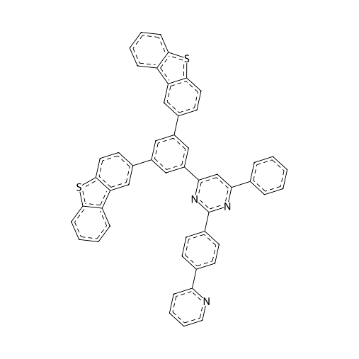 c1ccc(-c2cc(-c3cc(-c4ccc5sc6ccccc6c5c4)cc(-c4ccc5sc6ccccc6c5c4)c3)nc(-c3ccc(-c4ccccn4)cc3)n2)cc1